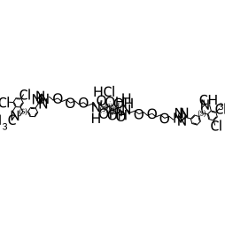 CN1Cc2c(Cl)cc(Cl)cc2[C@H](c2cccc(-c3nnn(CCOCCOCCOCCNC(=O)[C@@H](O)[C@H](O)[C@H](O)[C@@H](O)C(=O)NCCOCCOCCOCCn4nnc(-c5cccc([C@@H]6CN(C)Cc7c(Cl)cc(Cl)cc76)c5)n4)n3)c2)C1.Cl